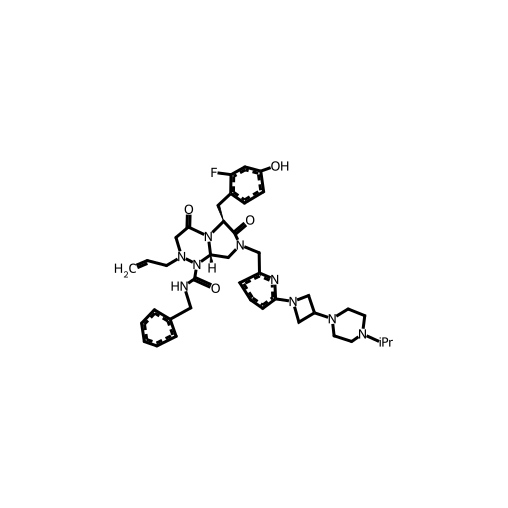 C=CCN1CC(=O)N2[C@@H](Cc3ccc(O)cc3F)C(=O)N(Cc3cccc(N4CC(N5CCN(C(C)C)CC5)C4)n3)C[C@@H]2N1C(=O)NCc1ccccc1